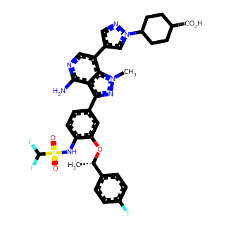 C[C@H](Oc1cc(-c2nn(C)c3c(-c4cnn(C5CCC(C(=O)O)CC5)c4)cnc(N)c23)ccc1NS(=O)(=O)C(F)F)c1ccc(F)cc1